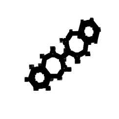 c1ccc2c(c1)COB(B1OCc3ccccc3CO1)OC2